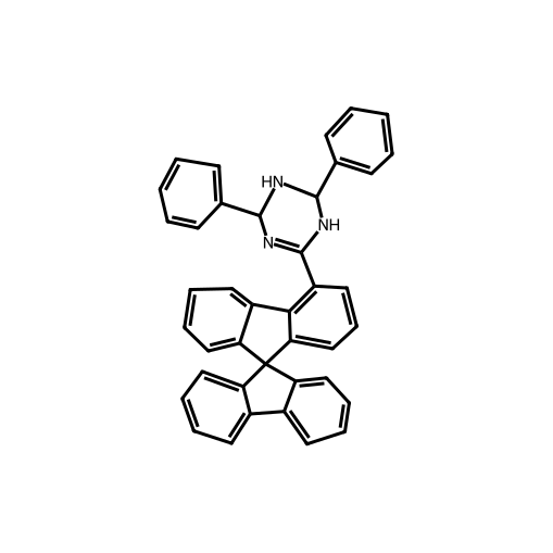 c1ccc(C2N=C(c3cccc4c3-c3ccccc3C43c4ccccc4-c4ccccc43)NC(c3ccccc3)N2)cc1